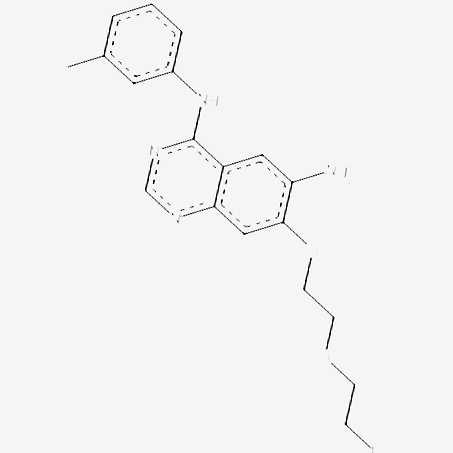 Nc1cc2c(Nc3cccc(I)c3)ncnc2cc1OCCOCCF